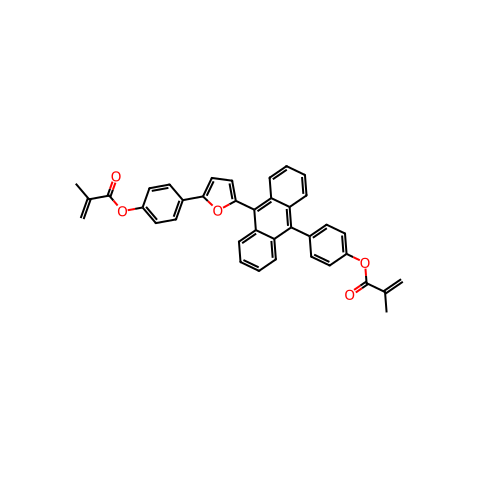 C=C(C)C(=O)Oc1ccc(-c2ccc(-c3c4ccccc4c(-c4ccc(OC(=O)C(=C)C)cc4)c4ccccc34)o2)cc1